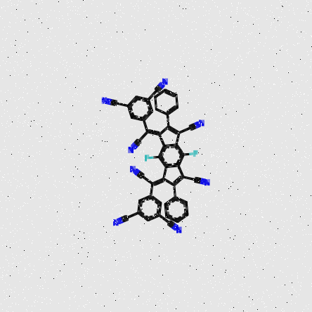 N#CC1=C(C2=CC=CCC2)/C(=C(/C#N)c2cc(C#N)cc(C#N)c2)c2c(F)c3c(c(F)c21)C(C#N)=C(c1ccccc1)/C3=C(/C#N)c1cc(C#N)cc(C#N)c1